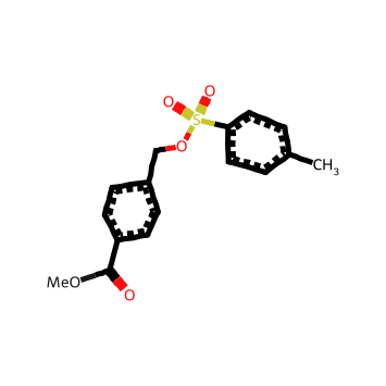 COC(=O)c1ccc(COS(=O)(=O)c2ccc(C)cc2)cc1